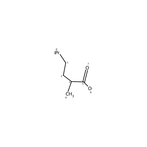 CC(C)CCC(C)C([O])=O